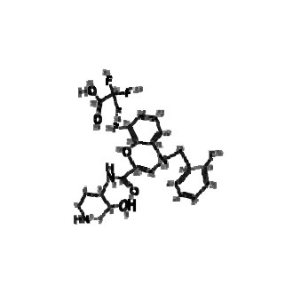 O=C(NC1CCNCC1O)C1=CN(Cc2ccccc2F)c2cccc(F)c2O1.O=C(O)C(F)(F)F